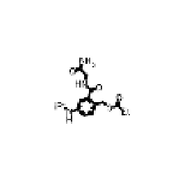 CCC(=O)OCc1ccc(NC(C)C)cc1C(=O)NCC(N)=O